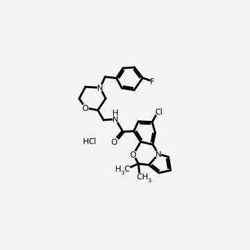 CC1(C)Oc2c(C(=O)NCC3CN(Cc4ccc(F)cc4)CCO3)cc(Cl)cc2-n2cccc21.Cl